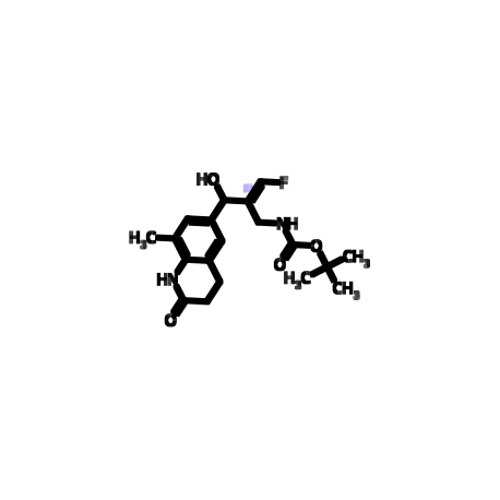 Cc1cc(C(O)/C(=C/F)CNC(=O)OC(C)(C)C)cc2c1NC(=O)CC2